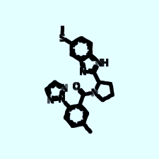 CSc1ccc2[nH]c(C3CCCN3C(=O)c3cc(C)ccc3-n3nccn3)nc2c1